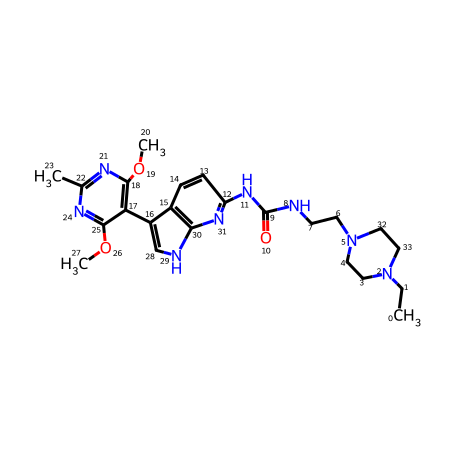 CCN1CCN(CCNC(=O)Nc2ccc3c(-c4c(OC)nc(C)nc4OC)c[nH]c3n2)CC1